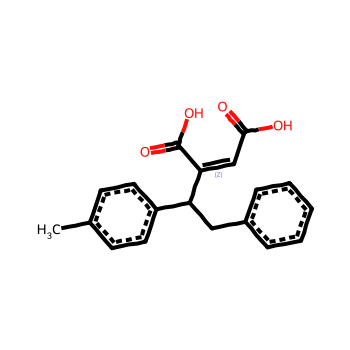 Cc1ccc(C(Cc2ccccc2)/C(=C/C(=O)O)C(=O)O)cc1